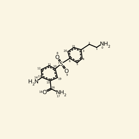 NCCc1ccc(S(=O)(=O)c2ccc(N)c(C(N)=O)c2)cc1